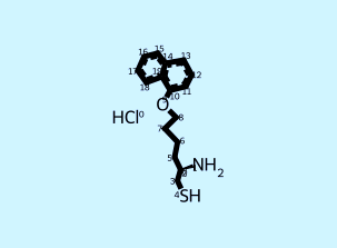 Cl.N[C@@H](CS)CCCCOc1cccc2ccccc12